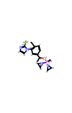 C=P(OC(C)c1ccc(C)c(-n2ccnc2Br)c1)(N1CC1)N1CC1